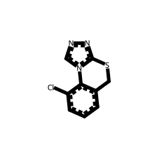 Clc1cccc2c1-n1cnnc1SC2